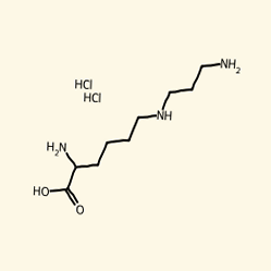 Cl.Cl.NCCCNCCCCC(N)C(=O)O